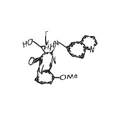 COc1cccn2c(=O)c(C(C)O)c(Nc3ccc4ncccc4c3)nc12